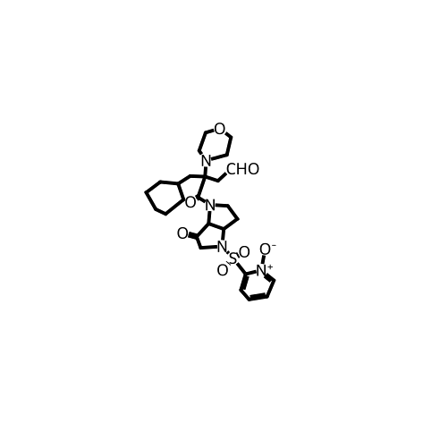 O=CCC(CC1CCCCC1)(C(=O)N1CCC2C1C(=O)CN2S(=O)(=O)c1cccc[n+]1[O-])N1CCOCC1